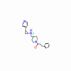 O=C(CCc1ccccc1)N1CCC(F)(CNC2CC2c2ccncc2)CC1